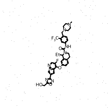 CCC1c2cc(Oc3c(F)cnn4cc(-c5noc(CO)n5)cc34)ccc2CCN1C(=O)Nc1ccc(CN2CCN(C)CC2)c(C(F)(F)F)c1